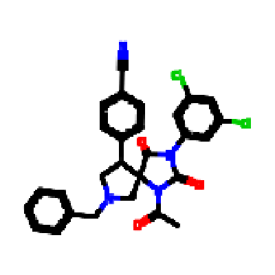 CC(=O)N1C(=O)N(c2cc(Cl)cc(Cl)c2)C(=O)[C@]12CN(Cc1ccccc1)C[C@H]2c1ccc(C#N)cc1